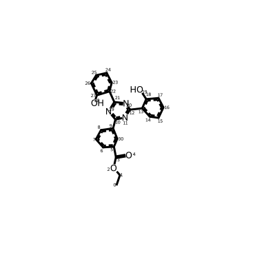 CCOC(=O)c1cccc(-c2nc(-c3ccccc3O)nc(-c3ccccc3O)n2)c1